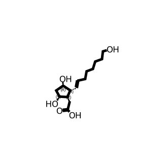 O=C(O)C[C@@H]1[C@@H](C=CCCCCCCO)[C@H](O)C[C@@H]1O